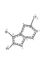 CC(C)c1nn2cnc(C(F)(F)F)cc2c1Br